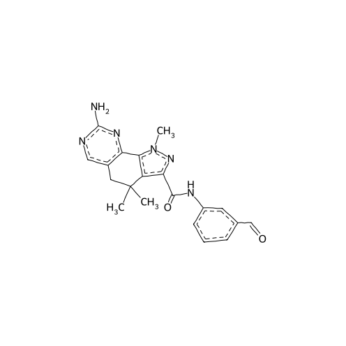 Cn1nc(C(=O)Nc2cccc(C=O)c2)c2c1-c1nc(N)ncc1CC2(C)C